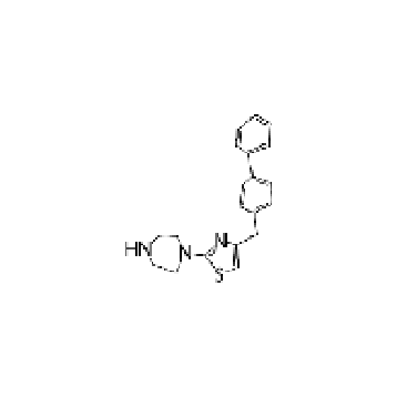 c1ccc(-c2ccc(Cc3csc(N4CCNCC4)n3)cc2)cc1